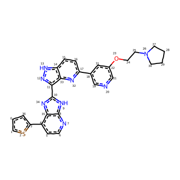 c1csc(-c2ccnc3[nH]c(-c4n[nH]c5ccc(-c6cncc(OCCN7CCCC7)c6)nc45)nc23)c1